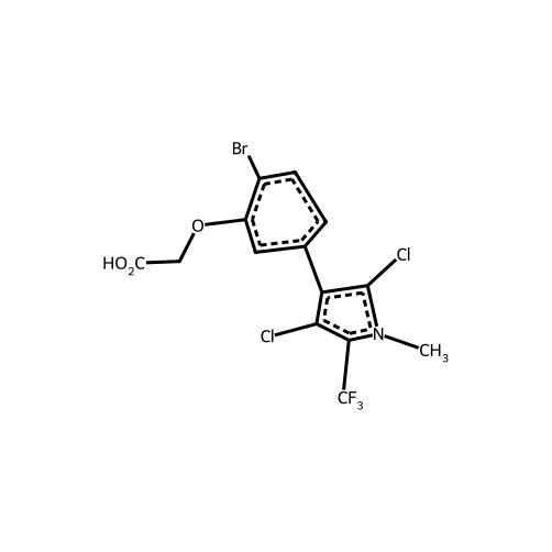 Cn1c(Cl)c(-c2ccc(Br)c(OCC(=O)O)c2)c(Cl)c1C(F)(F)F